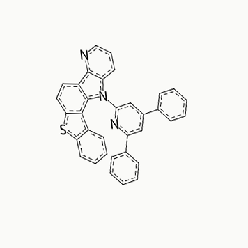 c1ccc(-c2cc(-c3ccccc3)nc(-n3c4cccnc4c4ccc5sc6ccccc6c5c43)c2)cc1